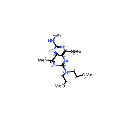 CCCNc1nc(NC)c2nc(N(CCOC)CCOC)nc(NC)c2n1